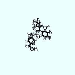 COc1c([C@H]2[C@H](C(=O)Nc3ccc([C@@H](C)O)nc3)O[C@@](C)(C(F)(F)F)[C@H]2C)ccc(F)c1F